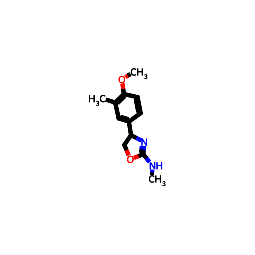 CNC1=NC(c2ccc(OC)c(C)c2)CO1